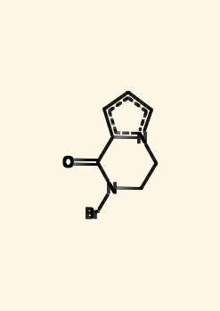 O=C1c2cccn2CCN1Br